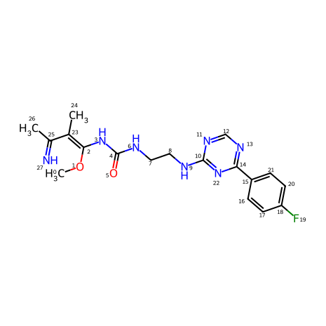 CO/C(NC(=O)NCCNc1ncnc(-c2ccc(F)cc2)n1)=C(/C)C(C)=N